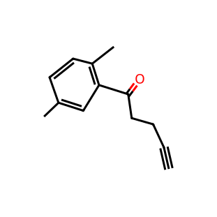 C#CCCC(=O)c1cc(C)ccc1C